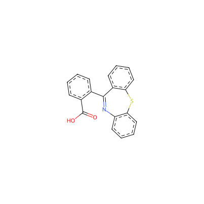 O=C(O)c1ccccc1C1=Nc2ccccc2Sc2ccccc21